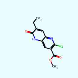 CCc1cc2nc(Cl)c(C(=O)OC)cc2[nH]c1=O